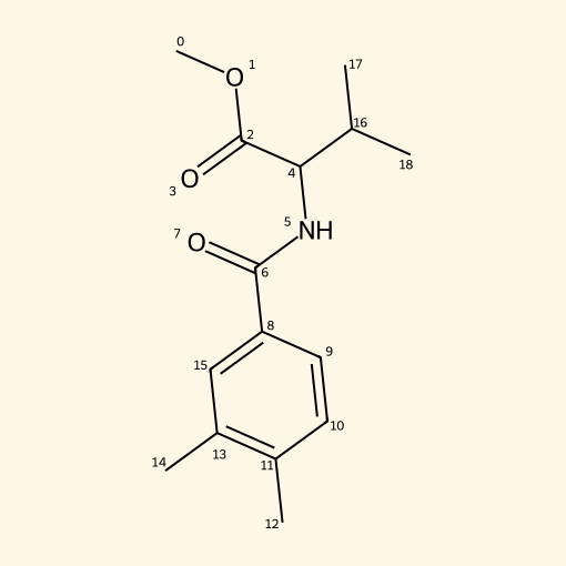 COC(=O)C(NC(=O)c1ccc(C)c(C)c1)C(C)C